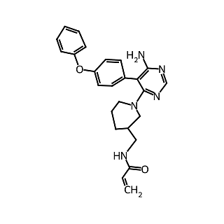 C=CC(=O)NCC1CCCN(c2ncnc(N)c2-c2ccc(Oc3ccccc3)cc2)C1